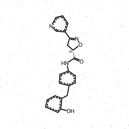 O=C(Nc1ccc(Cc2ccccc2O)cc1)[C@@H]1CC(c2cccnc2)=NO1